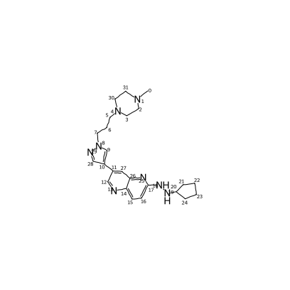 CN1CCN(CCCn2cc(-c3cnc4ccc(NNC5CCCC5)nc4c3)cn2)CC1